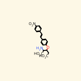 NC(C(=O)O)C(CC(=O)O)Oc1ccc(C=Cc2ccc([N+](=O)[O-])cc2)cc1